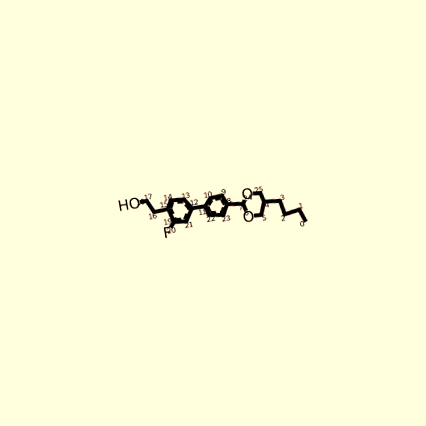 CCCCC1COC(c2ccc(-c3ccc(CCO)c(F)c3)cc2)OC1